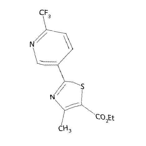 CCOC(=O)c1sc(-c2ccc(C(F)(F)F)nc2)nc1C